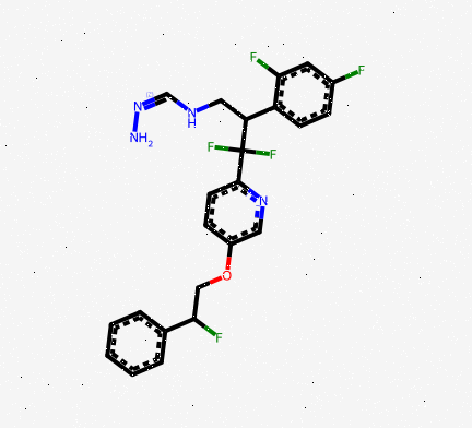 N/N=C\NCC(c1ccc(F)cc1F)C(F)(F)c1ccc(OCC(F)c2ccccc2)cn1